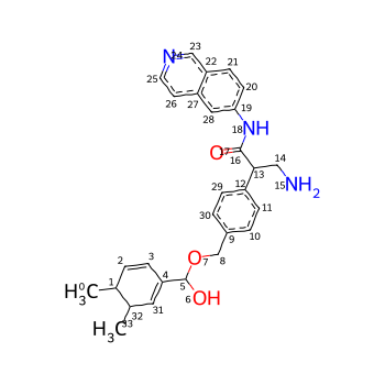 CC1C=CC(C(O)OCc2ccc(C(CN)C(=O)Nc3ccc4cnccc4c3)cc2)=CC1C